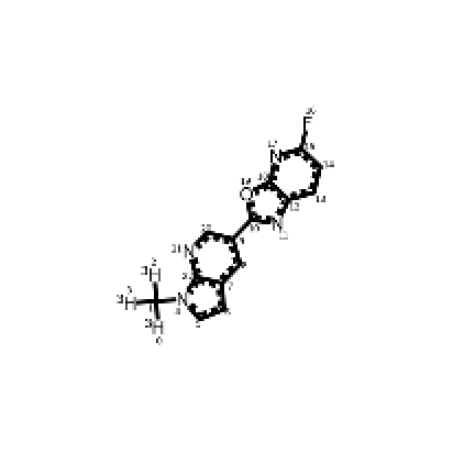 [3H]C([3H])([3H])n1ccc2cc(-c3nc4ccc(F)nc4o3)cnc21